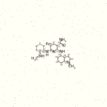 CN[C@H]1CCCC[C@H]1Nc1nc(Nc2cccc3c2ccn3C)c(C(N)=O)cc1F